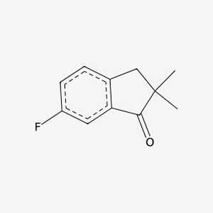 CC1(C)Cc2ccc(F)cc2C1=O